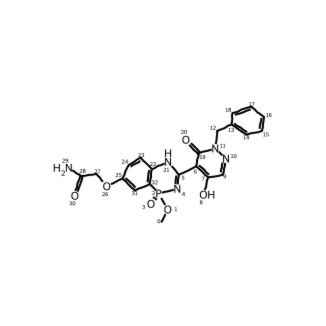 COP1(=O)N=C(c2c(O)cnn(Cc3ccccc3)c2=O)Nc2ccc(OCC(N)=O)cc21